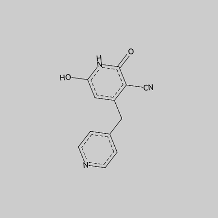 N#Cc1c(Cc2ccncc2)cc(O)[nH]c1=O